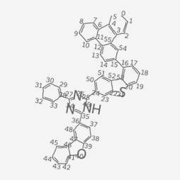 C/C=C\c1c(C)c2ccccc2c2ccc(-c3cccc4sc5cc(C6N=C(c7ccccc7)N=C(c7ccc8oc9ccccc9c8c7)N6)ccc5c34)cc12